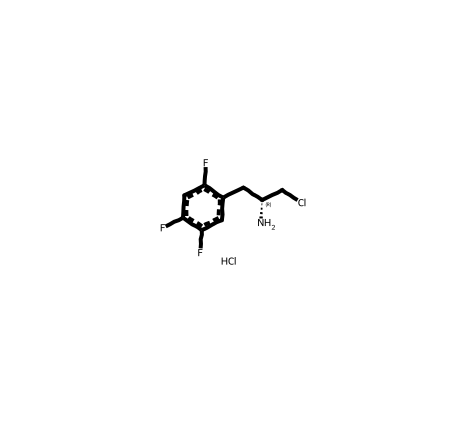 Cl.N[C@@H](CCl)Cc1cc(F)c(F)cc1F